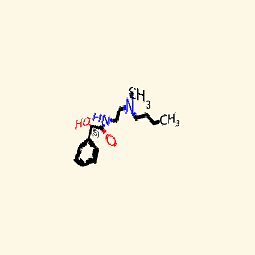 CCCCN(C)CCNC(=O)[C@@H](O)c1ccccc1